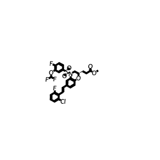 COC(=O)CC[C@H]1CN(S(=O)(=O)c2ccc(F)c(OC(F)F)c2)c2cc(/C=C/c3c(F)cccc3Cl)ccc2O1